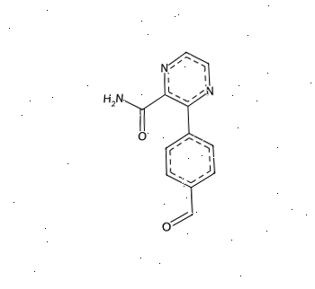 NC(=O)c1nccnc1-c1ccc(C=O)cc1